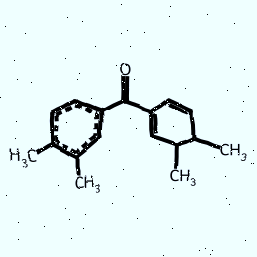 Cc1ccc(C(=O)C2=CC(C)C(C)C=C2)cc1C